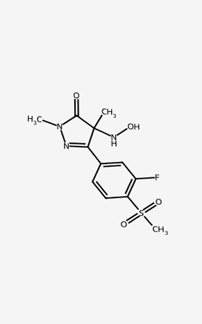 CN1N=C(c2ccc(S(C)(=O)=O)c(F)c2)C(C)(NO)C1=O